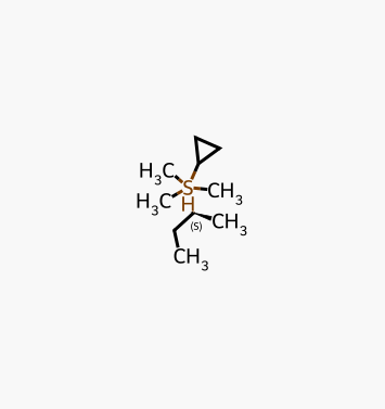 CC[C@H](C)[SH](C)(C)(C)C1CC1